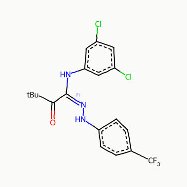 CC(C)(C)C(=O)/C(=N\Nc1ccc(C(F)(F)F)cc1)Nc1cc(Cl)cc(Cl)c1